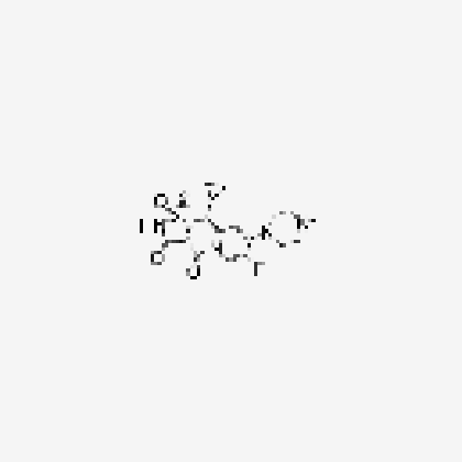 CN1CCN(c2cc3c(C4CC4)c4c(c(=O)n3cc2F)C(=O)NS4(=O)=O)CC1